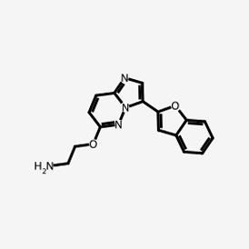 NCCOc1ccc2ncc(-c3cc4ccccc4o3)n2n1